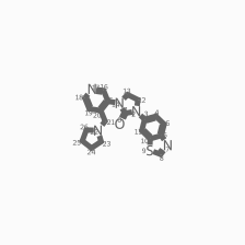 O=C1N(c2ccc3ncsc3c2)CCN1c1cnccc1CN1CCCC1